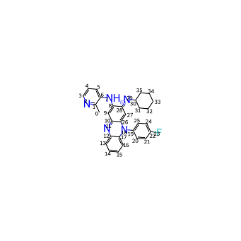 Cc1ncccc1Nc1cc2nc3ccccc3n(-c3ccc(F)cc3)c-2c/c1=N\C1CCCCC1